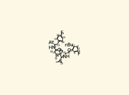 CCCCc1ccc(F)cc1OCCN[C@H](C(=O)N(C)[C@H](C)C(=O)N[C@H](Cc1ccc(F)cc1)C(C)=O)C1CC1